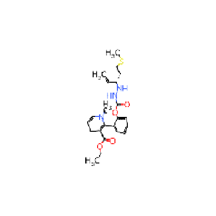 C=C[C@H](CCSC)NNC(=O)Oc1ccccc1C1=C(C(=O)OCC)CC=CN1C